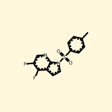 Cc1ccc(S(=O)(=O)n2ccc3c(F)c(F)cnc32)cc1